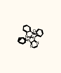 O=S1(=O)c2ccccc2N(c2ccccc2)C12N(C1=CC=CCC1)c1nccnc1N2c1ccccc1